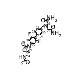 CC(=O)NC[C@H]1CN(c2cc(F)c(-c3ccc(CN(CC(N)=O)CC(N)=O)cc3)c(F)c2)C(=O)O1